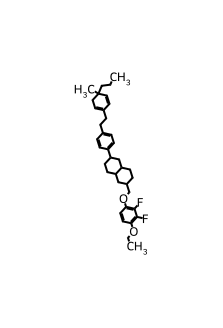 CCCC1(C)C=CC(CCc2ccc(C3CCC4CC(COc5ccc(OCC)c(F)c5F)CCC4C3)cc2)=CC1